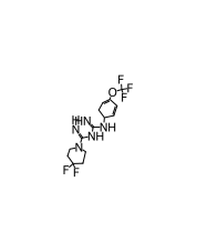 N=C(NC(=N)N1CCC(F)(F)CC1)NC1C=CC(OC(F)(F)F)=CC1